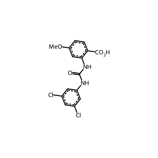 COc1ccc(C(=O)O)c(NC(=O)Nc2cc(Cl)cc(Cl)c2)c1